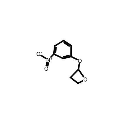 O=[N+]([O-])c1cccc(OC2CCO2)c1